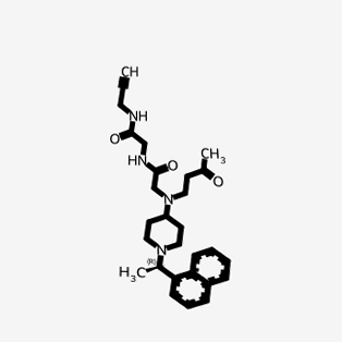 C#CCNC(=O)CNC(=O)CN(CCC(C)=O)C1CCN([C@H](C)c2cccc3ccccc23)CC1